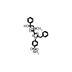 CN(CC(C)(O)c1ccccc1)C(=O)c1nc(Cc2ccccc2)n(-c2ccc(S(N)(=O)=O)cc2)n1